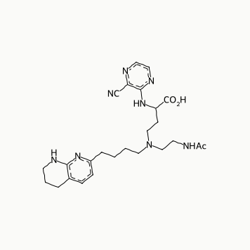 CC(=O)NCCN(CCCCc1ccc2c(n1)NCCC2)CCC(Nc1nccnc1C#N)C(=O)O